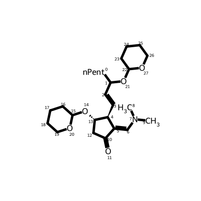 CCCCCC(C=C[C@H]1/C(=C\N(C)C)C(=O)C[C@@H]1OC1CCCCO1)OC1CCCCO1